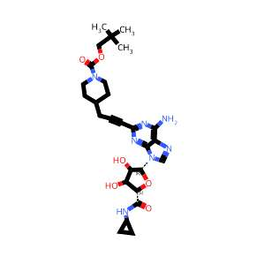 CC(C)(C)COC(=O)N1CCC(CC#Cc2nc(N)c3ncn([C@@H]4O[C@H](C(=O)NC5CC5)C(O)C4O)c3n2)CC1